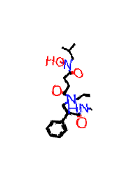 C=CCN(CC(C(=O)NC)c1ccccc1)C(=O)CCC(=O)N(O)CC(C)C